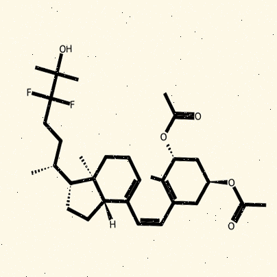 CC(=O)O[C@H]1CC(/C=C\C2=CCC[C@]3(C)[C@@H]([C@H](C)CCC(F)(F)C(C)(C)O)CC[C@@H]23)=C(C)[C@H](OC(C)=O)C1